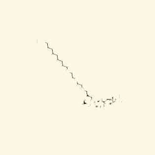 CCCCCCCCCCOCCOCCOCC(COP(O)OCC[N+](C)(C)C)OC(C)=O